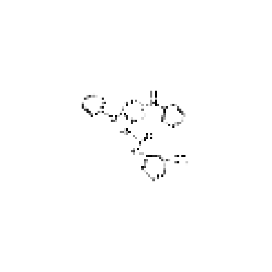 O=C(Nc1cccc(C(F)(F)F)c1)Nc1cc(Nc2ccccc2)ccc1Oc1ccccc1